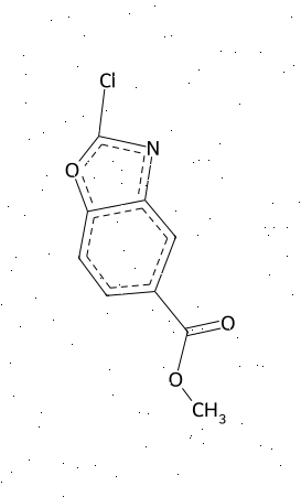 COC(=O)c1ccc2oc(Cl)nc2c1